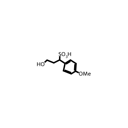 COc1ccc(C(CCO)S(=O)(=O)O)cc1